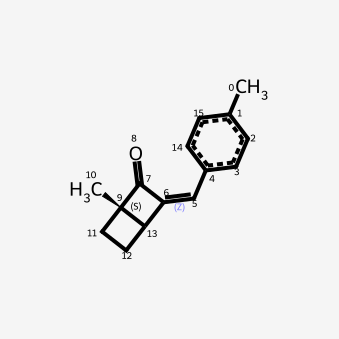 Cc1ccc(/C=C2\C(=O)[C@@]3(C)CCC23)cc1